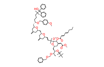 C=C1CC(C[C@H](CCCC(C)(C)[Si](O)(c2ccccc2)c2ccccc2)OCc2ccc(OC)cc2)O[C@@H](C[C@@H]2CC(=C)C[C@H](/C=C/C(C)(C)[C@]3(OC)O[C@H](C[C@@H](O[Si](C)(C)C(C)(C)C)[C@@H](C)OCOCc4ccccc4)C/C(=C\C(=O)OC)[C@@H]3OC(=O)/C=C/C=C/CCC)O2)C1